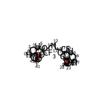 C[C@@H]1CC[C@H]2[C@@H](C)[C@](OCCN(C)CCO[C@@]3(C(F)(F)F)O[C@@H]4O[C@@]5(C)CC[C@H]6[C@H](C)CC[C@@H]([C@H]3C)[C@@]46OO5)(C(F)(F)F)O[C@@H]3O[C@@]4(C)CC[C@@H]1[C@]32OO4